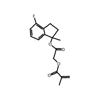 C=C(C)C(=O)OCC(=O)OC1(C)CCc2c(F)cccc21